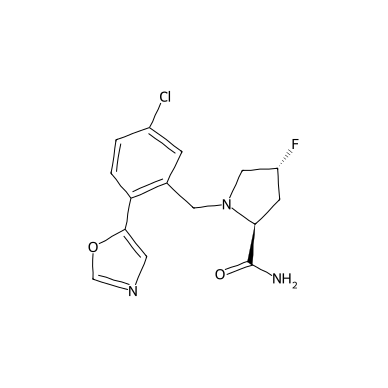 NC(=O)[C@@H]1C[C@@H](F)CN1Cc1cc(Cl)ccc1-c1cnco1